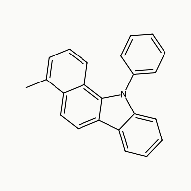 Cc1cccc2c1ccc1c3ccccc3n(-c3ccccc3)c21